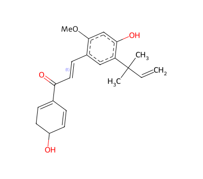 C=CC(C)(C)c1cc(/C=C/C(=O)C2=CCC(O)C=C2)c(OC)cc1O